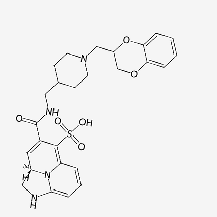 O=C(NCC1CCN(CC2COc3ccccc3O2)CC1)C1=C[C@H]2CNC3=CC=CC(=C1S(=O)(=O)O)N32